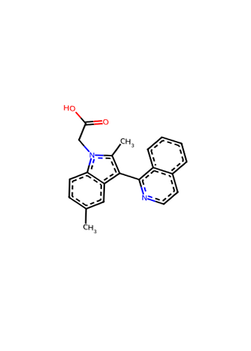 Cc1ccc2c(c1)c(-c1nccc3ccccc13)c(C)n2CC(=O)O